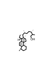 CC(CO)[C@@H](C)CC[C@@H](C)[C@H]1CC[C@H]2[C@@H]3CCC4[C@H](C)CCC[C@]4(C)[C@H]3CC[C@]12C